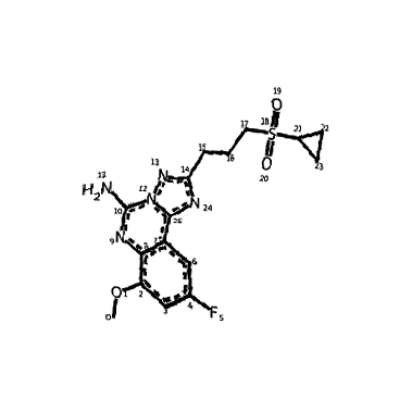 COc1cc(F)cc2c1nc(N)n1nc(CCCS(=O)(=O)C3CC3)nc21